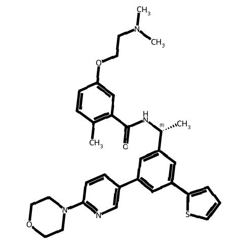 Cc1ccc(OCCN(C)C)cc1C(=O)N[C@H](C)c1cc(-c2ccc(N3CCOCC3)nc2)cc(-c2cccs2)c1